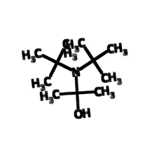 CC(C)(C)N(C(C)(C)C)C(C)(C)O